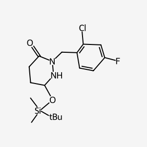 CC(C)(C)[Si](C)(C)OC1CCC(=O)N(Cc2ccc(F)cc2Cl)N1